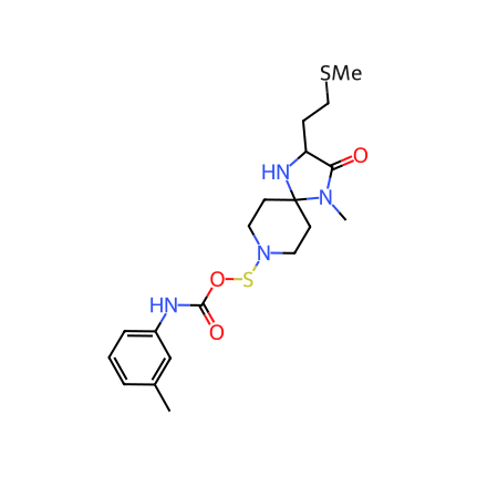 CSCCC1NC2(CCN(SOC(=O)Nc3cccc(C)c3)CC2)N(C)C1=O